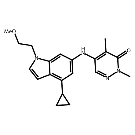 COCCn1ccc2c(C3CC3)cc(Nc3cnn(C)c(=O)c3C)cc21